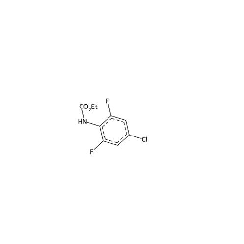 CCOC(=O)Nc1c(F)cc(Cl)cc1F